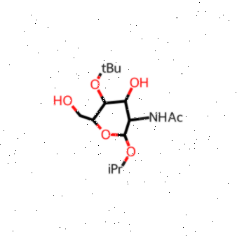 CC(=O)NC1C(OC(C)C)OC(CO)C(OC(C)(C)C)C1O